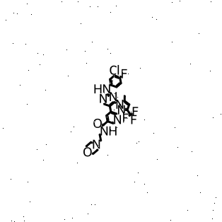 Cc1cc(C(F)(F)F)nn1-c1nc(Nc2ccc(F)c(Cl)c2)ncc1-c1cncc(C(=O)NCCN2CCOCC2)c1